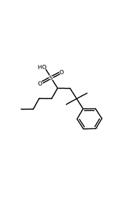 CCCCC(CC(C)(C)c1cc[c]cc1)S(=O)(=O)O